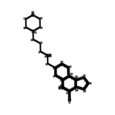 O=c1[nH]c2cc(CNCCCN3CCOCC3)ccc2n2cccc12